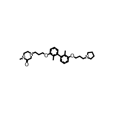 Cc1c(OCCCN2CCCC2)cccc1-c1cccc(OCCCN2CCN(C)C(=O)C2)c1C